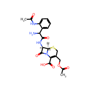 CC(=O)Nc1ccccc1C(N)C(=O)N[C@@H]1C(=O)N2C(C(=O)O)=C(COC(C)=O)CS[C@H]12